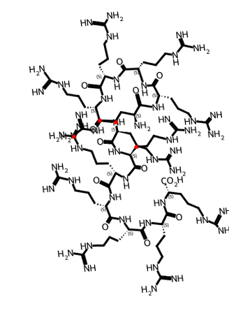 N=C(N)NCCC[C@H](NC(=O)[C@H](CCCNC(=N)N)NC(=O)[C@H](CCCNC(=N)N)NC(=O)[C@H](CCCNC(=N)N)NC(=O)[C@H](CCCNC(=N)N)NC(=O)[C@H](CCCNC(=N)N)NC(=O)[C@H](CCCNC(=N)N)NC(=O)[C@H](CCCNC(=N)N)NC(=O)[C@H](CCCNC(=N)N)NC(=O)[C@H](CCCNC(=N)N)NC(=O)[C@H](CCCNC(=N)N)NC(=O)[C@@H](N)CCCNC(=N)N)C(=O)O